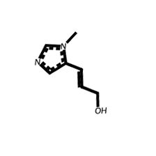 Cn1cncc1C=CCO